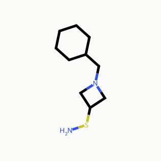 NSC1CN(CC2CCCCC2)C1